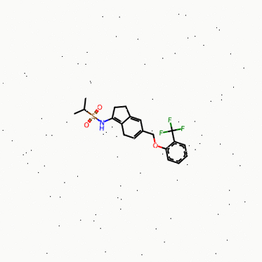 CC(C)S(=O)(=O)NC1=C2CC=C(COc3ccccc3C(F)(F)F)C=C2CC1